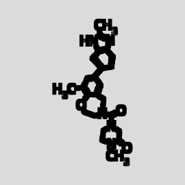 Cc1nc2ccc(-c3cc(C)c4c(c3)CN(C(=O)N3CCN(C)C(=O)C3)CCO4)cc2[nH]1